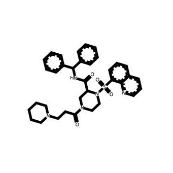 O=C(NC(c1ccccc1)c1ccccc1)C1CN(C(=O)CCN2CCCCC2)CCN1S(=O)(=O)c1cccc2cccnc12